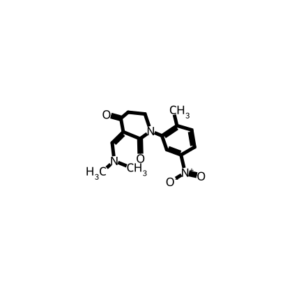 Cc1ccc([N+](=O)[O-])cc1N1CCC(=O)C(=CN(C)C)C1=O